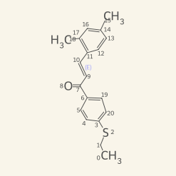 CCSc1ccc(C(=O)/C=C/c2ccc(C)cc2C)cc1